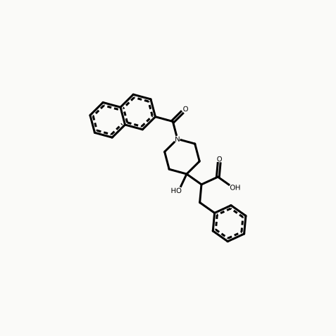 O=C(O)C(Cc1ccccc1)C1(O)CCN(C(=O)c2ccc3ccccc3c2)CC1